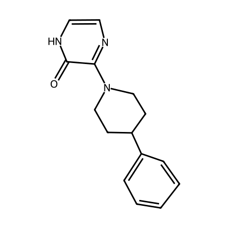 O=c1[nH]ccnc1N1CCC(c2ccccc2)CC1